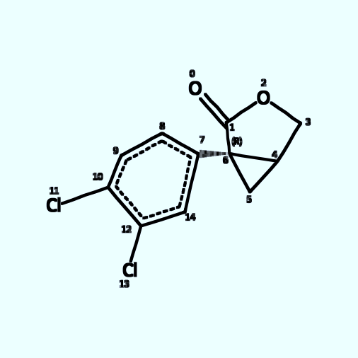 O=C1OCC2C[C@@]12c1ccc(Cl)c(Cl)c1